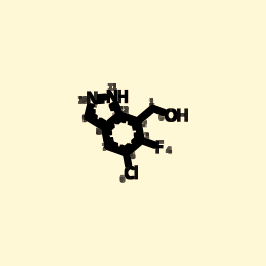 OCc1c(F)c(Cl)cc2cn[nH]c12